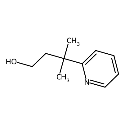 CC(C)(CCO)c1ccccn1